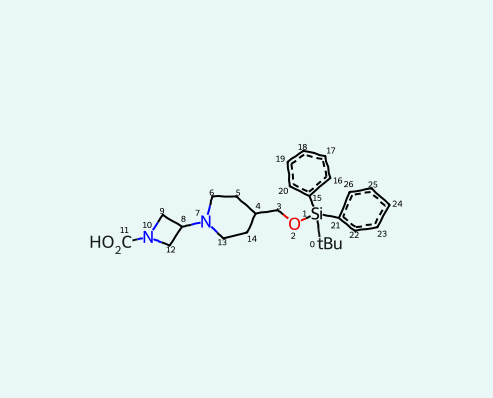 CC(C)(C)[Si](OCC1CCN(C2CN(C(=O)O)C2)CC1)(c1ccccc1)c1ccccc1